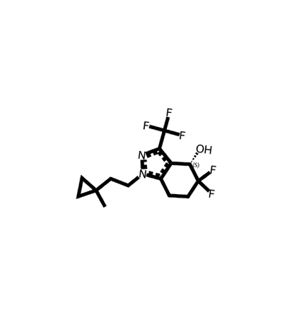 CC1(CCn2nc(C(F)(F)F)c3c2CCC(F)(F)[C@H]3O)CC1